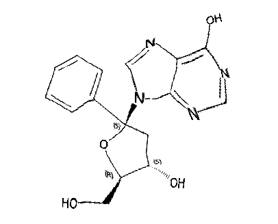 OC[C@H]1O[C@@](c2ccccc2)(n2cnc3c(O)ncnc32)C[C@@H]1O